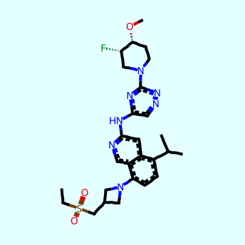 CCS(=O)(=O)CC1CN(c2ccc(C(C)C)c3cc(Nc4cnnc(N5CC[C@@H](OC)[C@@H](F)C5)n4)ncc23)C1